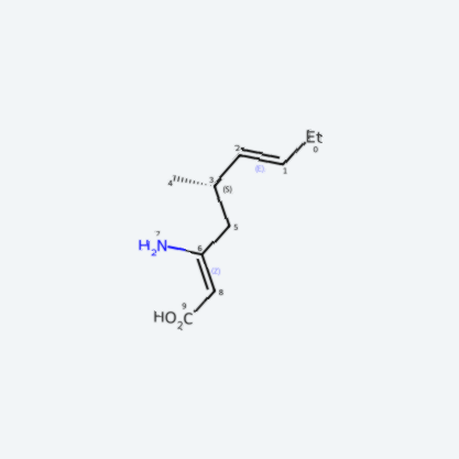 CC/C=C/[C@@H](C)C/C(N)=C/C(=O)O